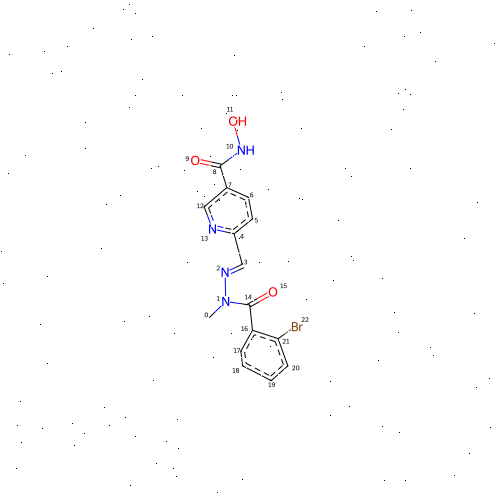 CN(N=Cc1ccc(C(=O)NO)cn1)C(=O)c1ccccc1Br